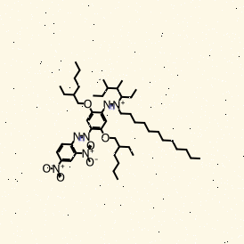 [CH2]C(CC)C(C)C(CC)/[N+](CCCCCCCCCCCC)=N/c1cc(OCC(CC)CCCC)c(/N=N/c2ccc([N+](=O)[O-])cc2[N+](=O)[O-])cc1OCC(CC)CCCC